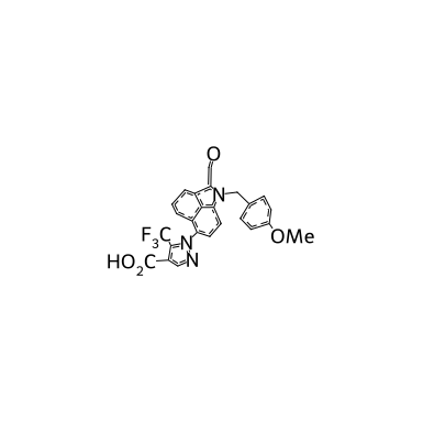 COc1ccc(Cn2c(=C=O)c3cccc4c(-n5ncc(C(=O)O)c5C(F)(F)F)ccc2c43)cc1